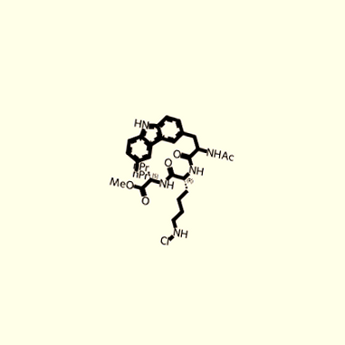 CCCc1ccc2[nH]c3ccc(CC(NC(C)=O)C(=O)N[C@H](CCCCNCl)C(=O)N[C@@H](CCC)C(=O)OC)cc3c2c1